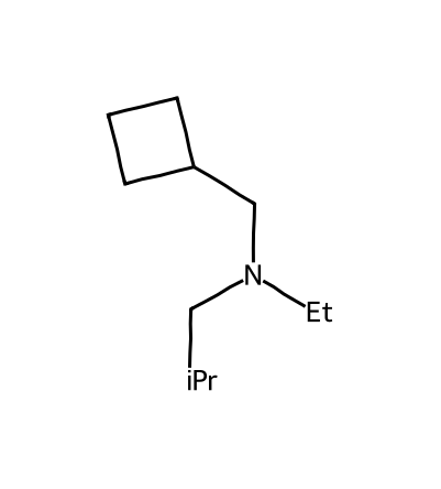 CCN(CC(C)C)CC1CCC1